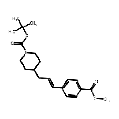 COC(=O)c1ccc(C=CCC2CCN(C(=O)OC(C)(C)C)CC2)cc1